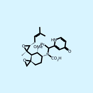 CO[C@@H]1[C@H](N(C(=O)O)C(c2cc(=O)cc[nH]2)C(C)C)CC[C@]2(CO2)[C@H]1[C@@]1(C)O[C@@H]1CC=C(C)C